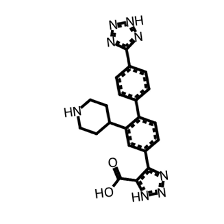 O=C(O)c1[nH]nnc1-c1ccc(-c2ccc(-c3nn[nH]n3)cc2)c(C2CCNCC2)c1